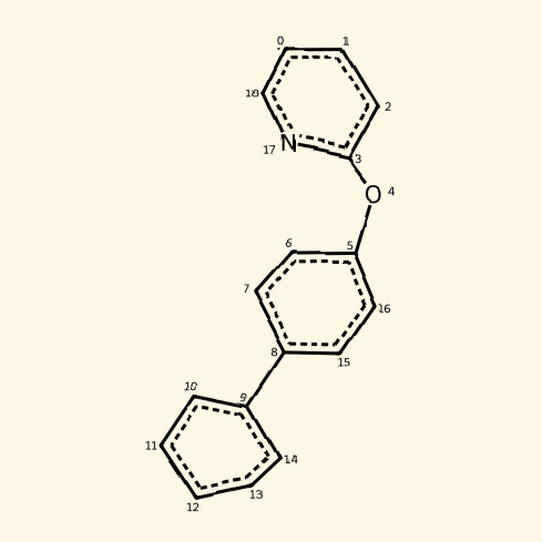 [c]1ccc(Oc2ccc(-c3ccccc3)cc2)nc1